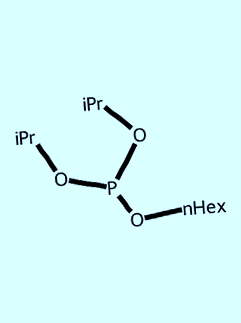 CCCCCCOP(OC(C)C)OC(C)C